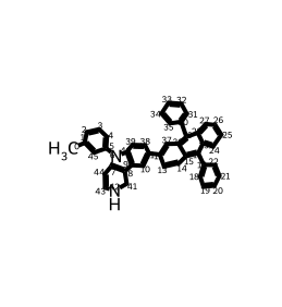 Cc1cccc(-n2c3c(c4cc(-c5ccc6c(-c7ccccc7)c7ccccc7c(-c7ccccc7)c6c5)ccc42)CNC=C3)c1